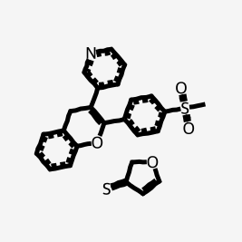 CS(=O)(=O)c1ccc(C2=C(c3cccnc3)Cc3ccccc3O2)cc1.S=C1C=COC1